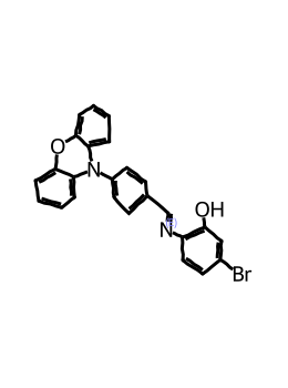 Oc1cc(Br)ccc1/N=C/c1ccc(N2c3ccccc3Oc3ccccc32)cc1